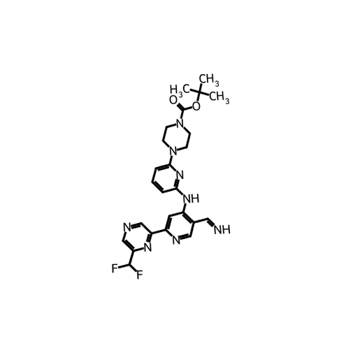 CC(C)(C)OC(=O)N1CCN(c2cccc(Nc3cc(-c4cncc(C(F)F)n4)ncc3C=N)n2)CC1